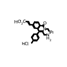 Cc1ccc(-c2c(CN)n(CC(C)C)c(=O)c3ccc(C=CC(=O)O)cc23)cc1.Cl